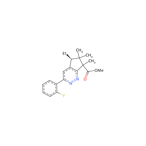 CC[C@@H]1c2cc(-c3ccccc3F)nnc2C(C)(C(=O)OC)C1(C)C